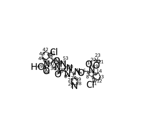 Cn1c(C(=NOCc2cc3c(Cl)cccc3n2C(=O)OC(C)(C)C)c2ccncc2)nc2c1c(=O)n(Cc1cc3c(Cl)cccc3n1C(=O)O)c(=O)n2C